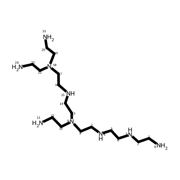 NCCNCCNCCN(CCN)CCNCCN(CCN)CCN